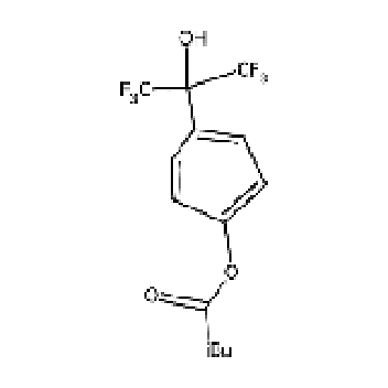 CCC(C)C(=O)Oc1ccc(C(O)(C(F)(F)F)C(F)(F)F)cc1